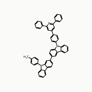 Cc1ccc(-n2c3ccccc3c3ccc(-c4ccc5c(c4)c4ccccc4n5-c4ccc(-c5cc(-c6ccccc6)nc(-c6ccccc6)c5)cc4)cc32)cc1